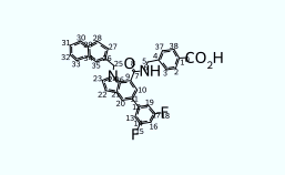 O=C(O)c1ccc(CNC(=O)c2cc(-c3cc(F)cc(F)c3)cc3ccn(Cc4ccc5ccccc5c4)c23)cc1